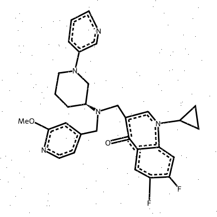 COc1cc(CN(Cc2cn(C3CC3)c3cc(F)c(F)cc3c2=O)[C@H]2CCCN(c3cccnc3)C2)ccn1